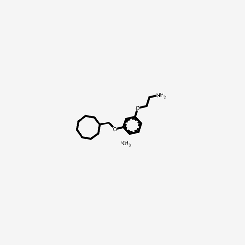 N.NCCOc1cccc(OCC2CCCCCCC2)c1